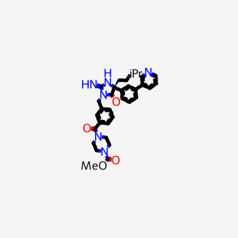 COC(=O)N1CCN(C(=O)c2cccc(CN3C(=N)N[C@](CCC(C)C)(c4cccc(-c5cccnc5)c4)C3=O)c2)CC1